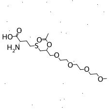 COCCOCCOCCOCC(CSCC[C@H](N)C(=O)O)OC(C)=O